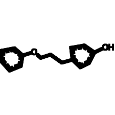 Oc1ccc(CCCOc2ccccc2)cc1